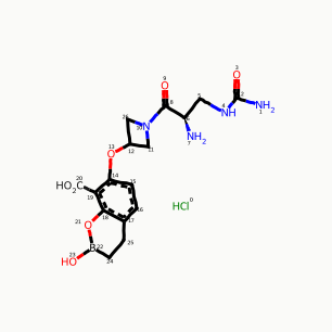 Cl.NC(=O)NC[C@@H](N)C(=O)N1CC(Oc2ccc3c(c2C(=O)O)OB(O)CC3)C1